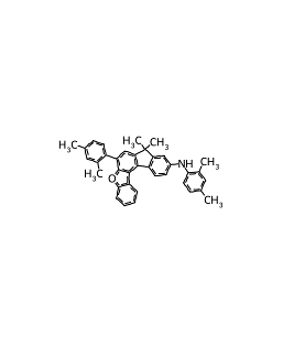 Cc1ccc(Nc2ccc3c(c2)C(C)(C)c2cc(-c4ccc(C)cc4C)c4oc5ccccc5c4c2-3)c(C)c1